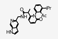 CC(=O)c1c(C(C)C)cccc1-n1c(C(C)C(=O)NCc2cc3cc[nH]c3cn2)cccc1=O